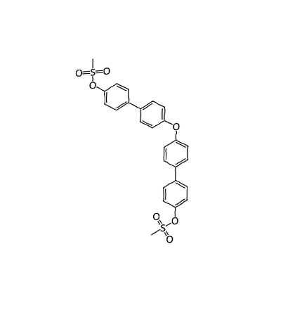 CS(=O)(=O)Oc1ccc(-c2ccc(Oc3ccc(-c4ccc(OS(C)(=O)=O)cc4)cc3)cc2)cc1